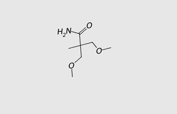 COCC(C)(COC)C(N)=O